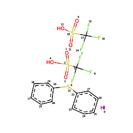 I.O=S(=O)(O)C(F)(F)F.O=S(=O)(O)C(F)(F)F.c1ccc(Sc2ccccc2)cc1